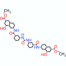 CCOC(=O)c1cc(O)c2cc(NC(=O)c3cccc(NC(=O)Nc4cccc(C(=O)Nc5ccc6cc(C(=O)OCC)cc(O)c6c5)c4)c3)ccc2c1